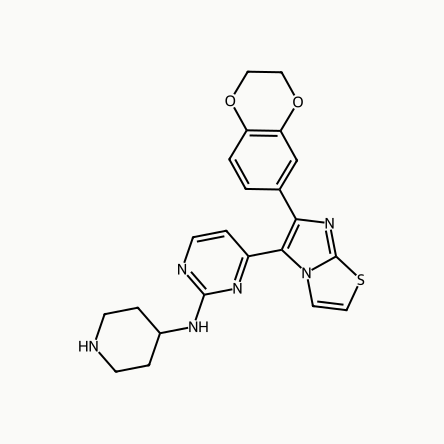 c1cc(-c2c(-c3ccc4c(c3)OCCO4)nc3sccn23)nc(NC2CCNCC2)n1